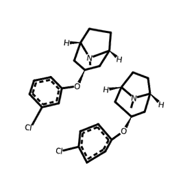 CN1[C@@H]2CC[C@H]1C[C@H](Oc1ccc(Cl)cc1)C2.CN1[C@@H]2CC[C@H]1C[C@H](Oc1cccc(Cl)c1)C2